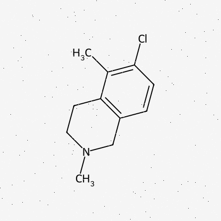 Cc1c(Cl)ccc2c1CCN(C)C2